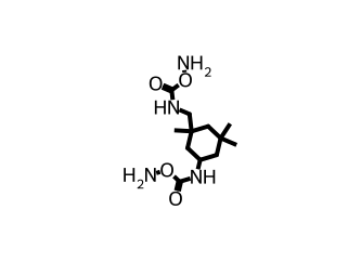 CC1(C)CC(NC(=O)ON)CC(C)(CNC(=O)ON)C1